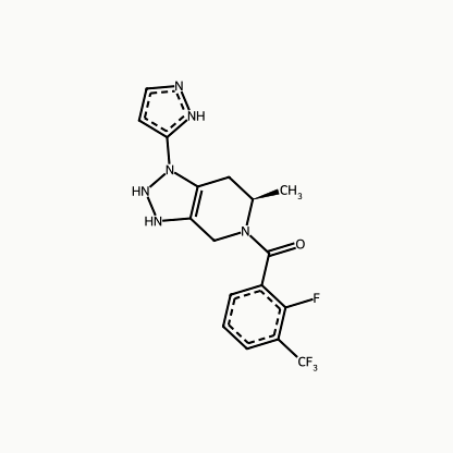 C[C@@H]1CC2=C(CN1C(=O)c1cccc(C(F)(F)F)c1F)NNN2c1ccn[nH]1